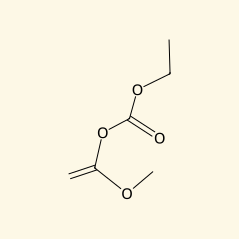 C=C(OC)OC(=O)OCC